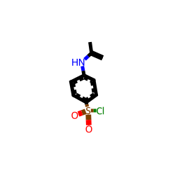 C=C(C)Nc1ccc(S(=O)(=O)Cl)cc1